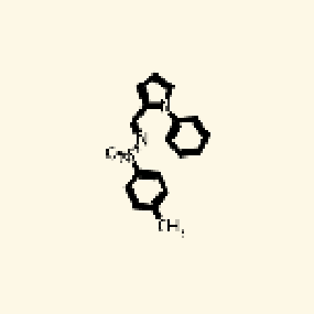 Cc1ccc([S@@+]([O-])N=Cc2cccn2-c2ccccc2)cc1